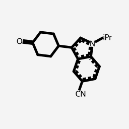 CC(C)n1cc(C2CCC(=O)CC2)c2cc(C#N)ccc21